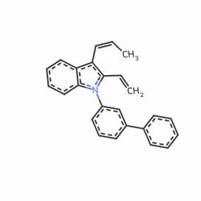 C=Cc1c(/C=C\C)c2ccccc2n1-c1cccc(-c2ccccc2)c1